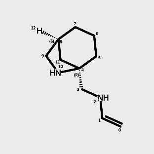 C=CNC[C@]12CCC[C@H](CN1)C2